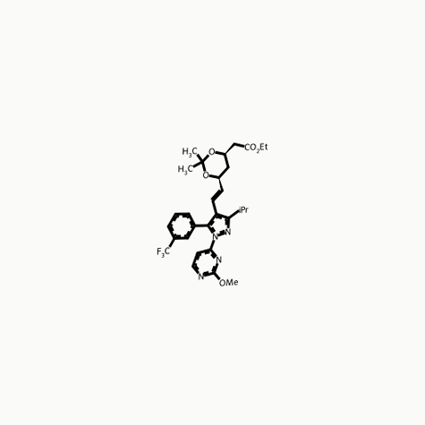 CCOC(=O)C[C@H]1C[C@@H](/C=C/c2c(C(C)C)nn(-c3ccnc(OC)n3)c2-c2cccc(C(F)(F)F)c2)OC(C)(C)O1